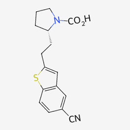 N#Cc1ccc2sc(CC[C@@H]3CCCN3C(=O)O)cc2c1